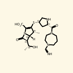 C[C@@H](O)[C@H]1C(=O)N2C(C(=O)O)=C(S[C@@H]3CN[C@H](C(=O)N4CCCN(C=N)CC4)C3)[C@H](C)[C@H]12